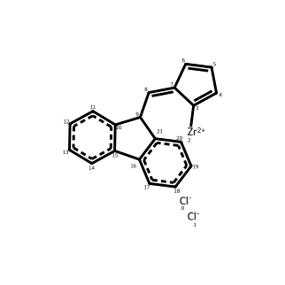 [Cl-].[Cl-].[Zr+2][C]1=CC=CC1=CC1c2ccccc2-c2ccccc21